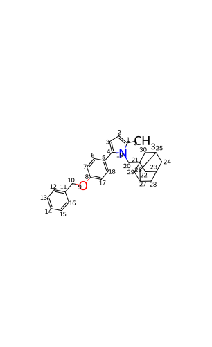 Cc1ccc(-c2ccc(OCc3ccccc3)cc2)n1CC12CC3CC(CC(C3)C1)C2